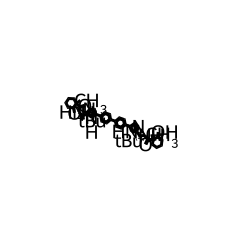 CC(C)(C)C(NC(=O)C1(C)CCCCC1O)c1ncc(-c2ccc(-c3ccc(-c4cnc([C@@H](NC(=O)C5(C)CCCCC5O)C(C)(C)C)[nH]4)cc3)cc2)[nH]1